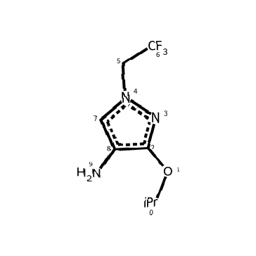 CC(C)Oc1nn(CC(F)(F)F)cc1N